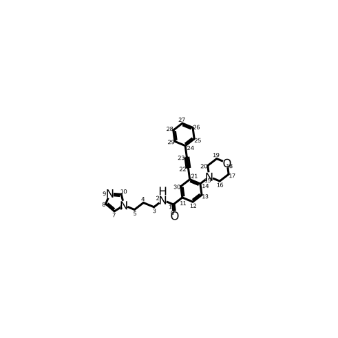 O=C(NCCCn1ccnc1)c1ccc(N2CCOCC2)c(C#Cc2ccccc2)c1